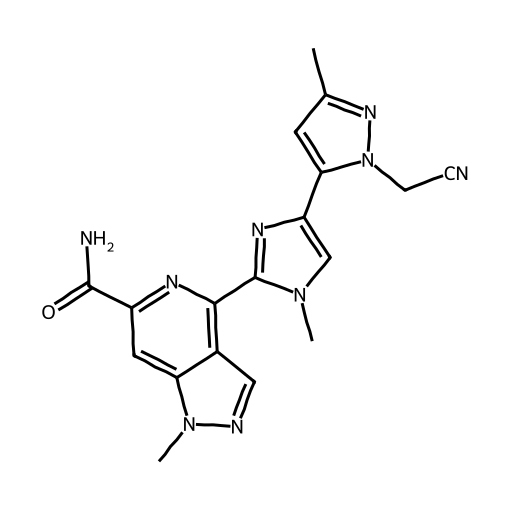 Cc1cc(-c2cn(C)c(-c3nc(C(N)=O)cc4c3cnn4C)n2)n(CC#N)n1